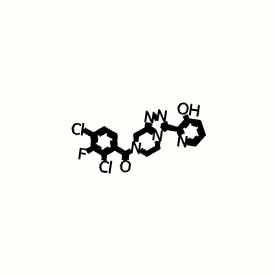 O=C(c1ccc(Cl)c(F)c1Cl)N1CCn2c(nnc2-c2ncccc2O)C1